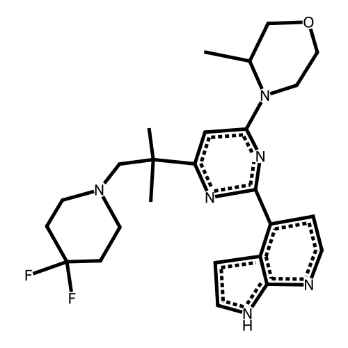 CC1COCCN1c1cc(C(C)(C)CN2CCC(F)(F)CC2)nc(-c2ccnc3[nH]ccc23)n1